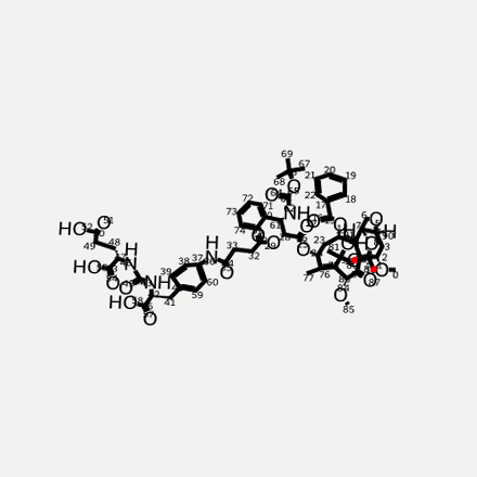 CO[C@H]1C[C@H]2OC[C@@]2(OC(C)=O)[C@H]2[C@H](OC(=O)c3ccccc3)C[C@H](OC(=O)[C@H](OC(=O)CCC(=O)Nc3ccc(C[C@H](NC(=O)N[C@@H](CCC(=O)O)C(=O)O)C(=O)O)cc3)[C@@H](NC(=O)OC(C)(C)C)c3ccccc3)/C(C)=C(\C(C)(C)O)[C@@H](OC)C(=O)[C@]12C